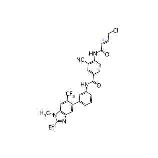 CCc1nc2cc(-c3cccc(NC(=O)c4ccc(NC(=O)/C=C/CCl)c(C#N)c4)c3)c(C(F)(F)F)cc2n1C